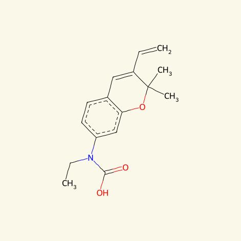 C=CC1=Cc2ccc(N(CC)C(=O)O)cc2OC1(C)C